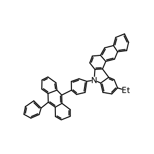 CCc1ccc2c(c1)c1c3cc4ccccc4cc3ccc1n2-c1ccc(-c2c3ccccc3c(-c3ccccc3)c3ccccc23)cc1